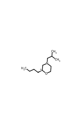 CCCC[C@H]1CN(CC(C)C)CCO1